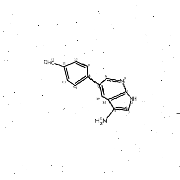 Nc1c[nH]c2ncc(-c3ccc(C=O)cc3)cc12